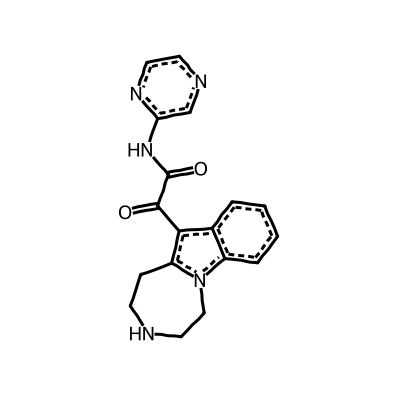 O=C(Nc1cnccn1)C(=O)c1c2n(c3ccccc13)CCNCC2